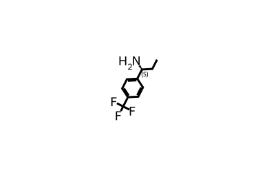 CC[C@H](N)c1ccc(C(F)(F)F)cc1